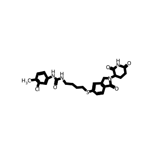 Cc1ccc(NC(=O)NCCCCSc2ccc3c(c2)CN(C2CCC(=O)NC2=O)C3=O)cc1Cl